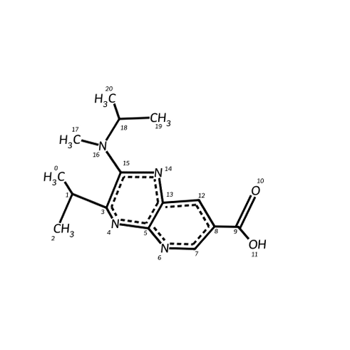 CC(C)c1nc2ncc(C(=O)O)cc2nc1N(C)C(C)C